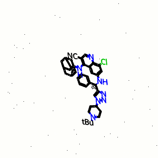 CC(C)(C)N1CCC(n2cc([C@@H](Nc3cc(Cl)c4ncc(C#N)c(NC56CC7CC(CC(C7)C5)C6)c4c3)c3ccccc3)nn2)CC1